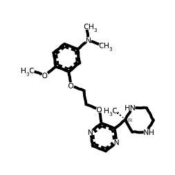 COc1ccc(N(C)C)cc1OCCOc1nccnc1[C@]1(C)CNCCN1